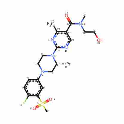 CC(C)[C@@H]1CN(c2ccc(F)c(S(C)(=O)=O)c2)CCN1c1ncc(C(=O)N(C)CCO)c(C(F)(F)F)n1